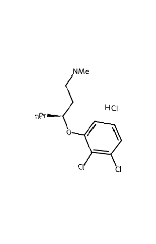 CCC[C@@H](CCNC)Oc1cccc(Cl)c1Cl.Cl